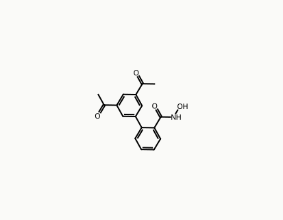 CC(=O)c1cc(C(C)=O)cc(-c2ccccc2C(=O)NO)c1